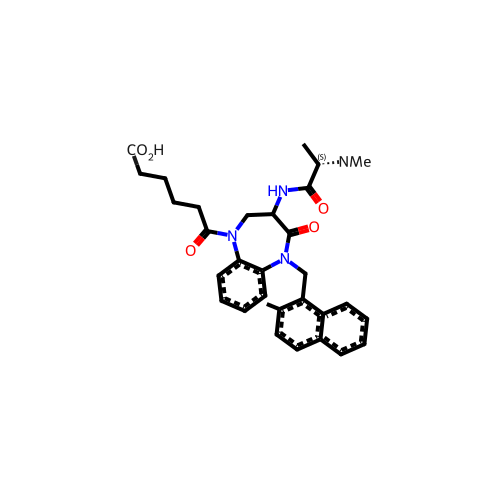 CN[C@@H](C)C(=O)NC1CN(C(=O)CCCCC(=O)O)c2ccccc2N(Cc2c(C)ccc3ccccc23)C1=O